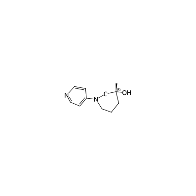 C[C@@]1(O)CCCN(c2ccncc2)C1